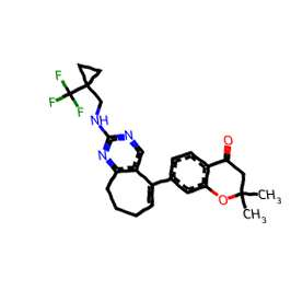 CC1(C)CC(=O)c2ccc(C3=CCCCc4nc(NCC5(C(F)(F)F)CC5)ncc43)cc2O1